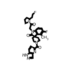 Cc1c(F)ccc2c1C1(CCN(C(=O)c3ccc4[nH]ncc4n3)CC1)C(=O)N2CC(=O)N1CCCC1CCF